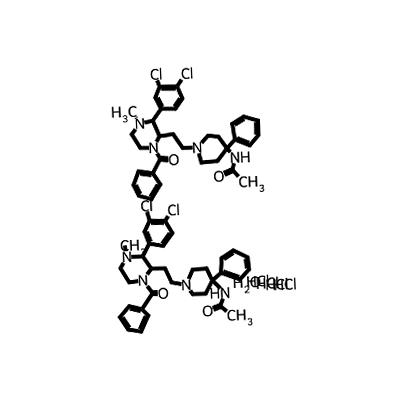 CC(=O)NC1(c2ccccc2)CCN(CCC2C(c3ccc(Cl)c(Cl)c3)N(C)CCN2C(=O)c2ccccc2)CC1.CC(=O)NC1(c2ccccc2)CCN(CCC2C(c3ccc(Cl)c(Cl)c3)N(C)CCN2C(=O)c2ccccc2)CC1.Cl.Cl.Cl.Cl.O